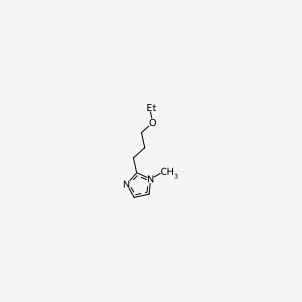 CCOCCCc1nccn1C